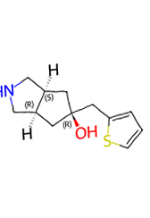 O[C@@]1(Cc2cccs2)C[C@H]2CNC[C@H]2C1